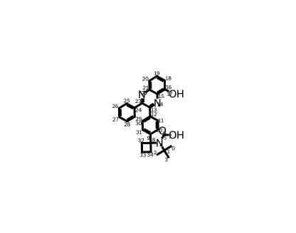 CC(C)(C)N(C(=O)O)C1(c2ccc(-c3nc4c(O)cccc4nc3-c3ccccc3)cc2)CCC1